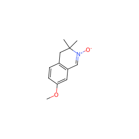 COc1ccc2c(c1)C=[N+]([O-])C(C)(C)C2